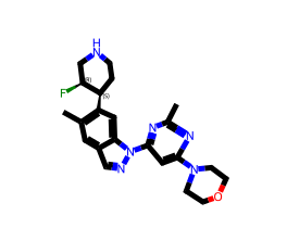 Cc1nc(N2CCOCC2)cc(-n2ncc3cc(C)c([C@@H]4CCNC[C@@H]4F)cc32)n1